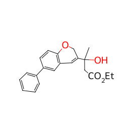 CCOC(=O)CC(C)(O)C1=Cc2cc(-c3ccccc3)ccc2OC1